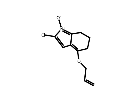 C=CCOC1=C2C=C(Cl)[N+]([O-])=C2CCC1